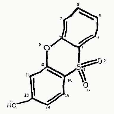 O=S1(=O)c2ccccc2Oc2cc(O)ccc21